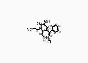 N#CCCN1C(=O)C(O)C=C2C(c3ccccc3)=CN(Cl)NC=C21